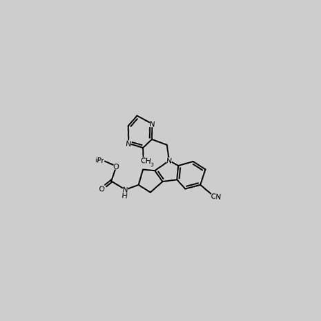 Cc1nccnc1Cn1c2c(c3cc(C#N)ccc31)CC(NC(=O)OC(C)C)C2